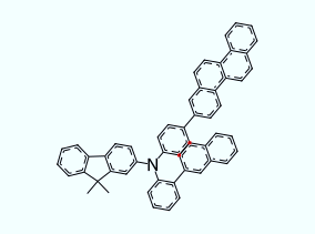 CC1(C)c2ccccc2-c2ccc(N(c3ccc(-c4ccc5c(ccc6c7ccccc7ccc56)c4)cc3)c3ccccc3-c3ccc4ccccc4c3)cc21